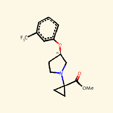 COC(=O)C1(N2CC[C@@H](Oc3cccc(C(F)(F)F)c3)C2)CC1